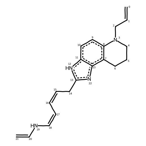 C=CCN1CCCc2c1ccc1[nH]c(C/C=C\C=C/NC=C)nc21